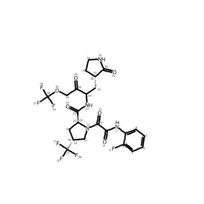 O=C(Nc1ccccc1F)C(=O)N1C[C@H](C(F)(F)F)C[C@H]1C(=O)NC(C[C@@H]1CCNC1=O)C(=O)COC(F)(F)F